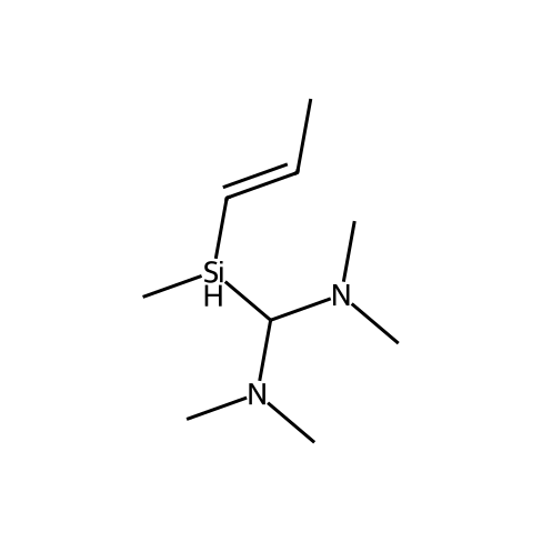 CC=C[SiH](C)C(N(C)C)N(C)C